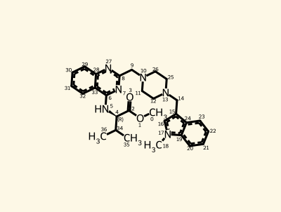 COC(=O)[C@H](Nc1nc(CN2CCN(Cc3cn(C)c4ccccc34)CC2)nc2ccccc12)C(C)C